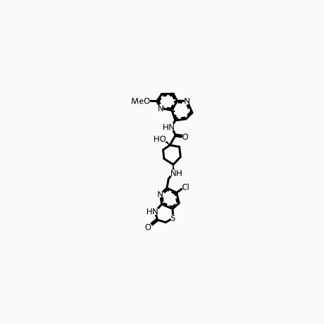 COc1ccc2nccc(NC(=O)[C@]3(O)CC[C@@H](NCc4nc5c(cc4Cl)SCC(=O)N5)CC3)c2n1